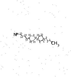 CCCCc1ccc(C2CCC(C=CC=CC#N)CC2)cc1